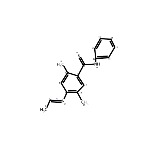 C/C=N/c1cc(C)c(C(=S)Nc2ccccc2)cc1C